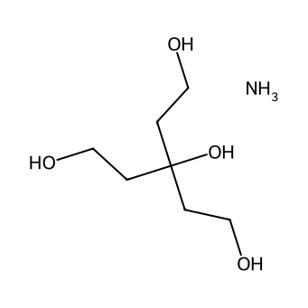 N.OCCC(O)(CCO)CCO